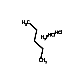 CCCCC.Cl.Cl.P